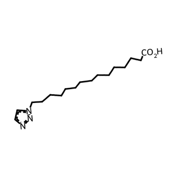 O=C(O)CCCCCCCCCCCCCCn1ccnn1